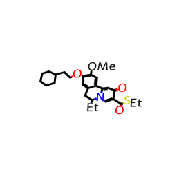 CCSC(=O)c1cn2c(cc1=O)-c1cc(OC)c(OCCC3CCCCC3)cc1CC2CC